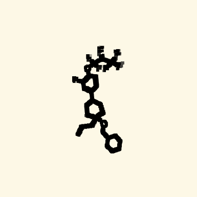 CCCC1(OCC2CCCCC2)CCC(c2ccc(OC(F)(F)C(F)C(F)(F)F)c(F)c2)CC1